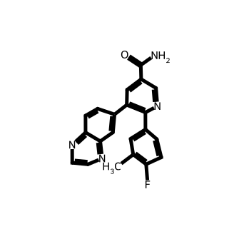 Cc1cc(-c2ncc(C(N)=O)cc2-c2ccc3nccnc3c2)ccc1F